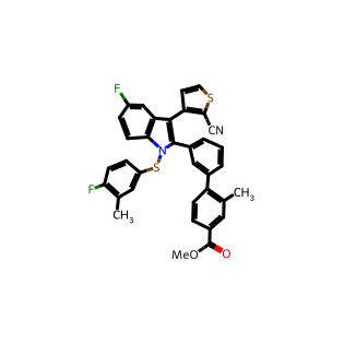 COC(=O)c1ccc(-c2cccc(-c3c(-c4ccsc4C#N)c4cc(F)ccc4n3Sc3ccc(F)c(C)c3)c2)c(C)c1